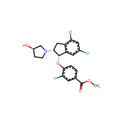 COC(=O)c1ccc(O[C@H]2c3cc(Cl)cc(Cl)c3C[C@H]2N2CC[C@@H](O)C2)c(F)c1